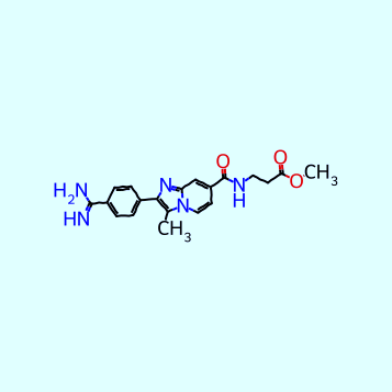 COC(=O)CCNC(=O)c1ccn2c(C)c(-c3ccc(C(=N)N)cc3)nc2c1